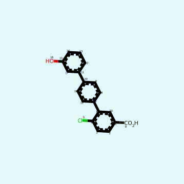 O=C(O)c1ccc(Cl)c(-c2ccc(-c3cccc(O)c3)cc2)c1